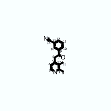 Cc1nccc(CC(=O)c2cccc(C#N)c2)c1C